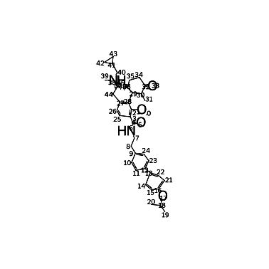 COc1c(C(=O)NCCc2ccc(-c3ccc(OC(C)C)cc3)cc2)ccc2c1C1C(C)C(=O)CC[C@H]1[C@H](N(C)CC1CC1)C2